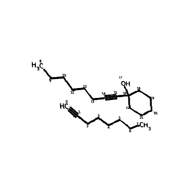 C#CCCCCCC.CCCCCCC#CC1(O)CCCCC1